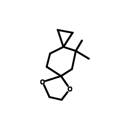 CC1(C)CC2(CCC13CC3)OCCO2